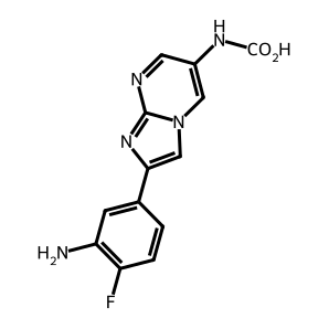 Nc1cc(-c2cn3cc(NC(=O)O)cnc3n2)ccc1F